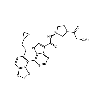 COCC(=O)N1CC[C@H](NC(=O)c2c[nH]c3c(-c4c(OCC5CC5)ccc5c4OCO5)ncnc23)C1